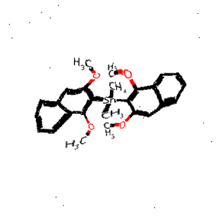 COc1cc2ccccc2c(OC)[c]1[Sn]([CH3])([CH3])[c]1c(OC)cc2ccccc2c1OC